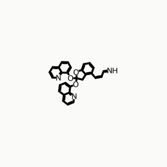 N=C/C=C\c1cccc2c1CC(Oc1cccc3cccnc13)(Oc1cccc3cccnc13)O2